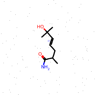 CC(C/C=C/C(C)(C)O)C(N)=O